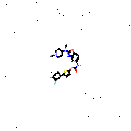 CN1CCC(N(C)c2nc3cc(NC(=O)Oc4ccc(-c5ccc(F)c(F)c5)s4)ccc3o2)CC1